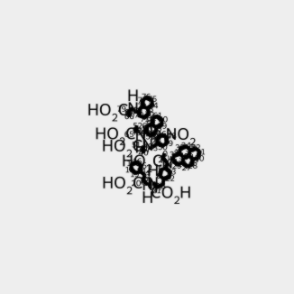 C[C@@H](C(=O)O)N(c1ccc(C[C@H](NN[C@@H](Cc2ccccc2)C(=O)O)C(=O)O)cc1)c1cc2ccc3cccc4ccc(c1)c2c34.C[C@H](NCc1ccc([N+](=O)[O-])cc1)C(=O)O.C[C@H](Nc1ccc2ccccc2c1)C(=O)O.C[C@H](Nc1cccc2ccccc12)C(=O)O